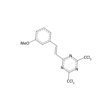 COc1cccc(C=Cc2nc(C(Cl)(Cl)Cl)nc(C(Cl)(Cl)Cl)n2)c1